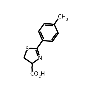 Cc1ccc(C2=NC(C(=O)O)CS2)cc1